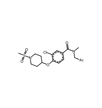 CC(=O)CN(C)C(=O)c1ccc(OC2CCN(S(C)(=O)=O)CC2)c(Cl)c1